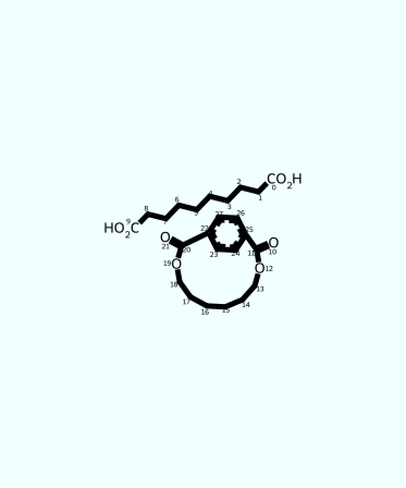 O=C(O)CCCCCCCCC(=O)O.O=C1OCCCCCCOC(=O)c2ccc1cc2